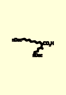 CCCCCCCCCCCCCCCCCC(C(=O)O)C(C)CCCCCCCCCCCCC